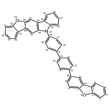 c1ccc2c(c1)oc1ccc(-c3ccc(-c4ccc(-n5c6ccccc6c6cc7oc8ccccc8c7cc65)cc4)cc3)cc12